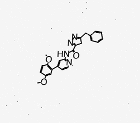 COc1ccc(OC)c(-c2ccnc(NC(=O)C3=NN=C(Cc4ccccc4)C3)c2)c1